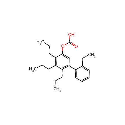 CCCc1c(OC(=O)O)cc(-c2ccccc2CC)c(CCC)c1CCC